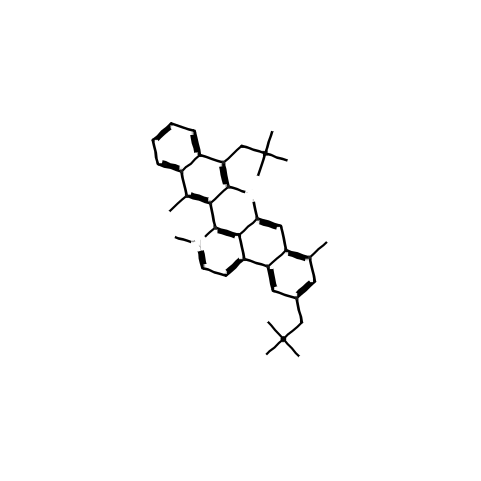 Cc1c2c(c(CC(C)(C)C)c3ccccc13)Oc1cc3c(C)cc(CC(C)(C)C)cc3c3cc[n+](C)c-2c13